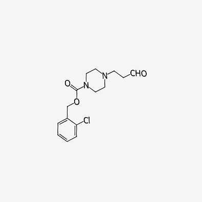 O=CCCN1CCN(C(=O)OCc2ccccc2Cl)CC1